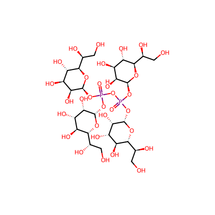 O=P(O[C@@H]1O[C@H]([C@@H](O)CO)[C@@H](O)[C@H](O)[C@@H]1O)(O[C@@H]1O[C@H]([C@@H](O)CO)[C@@H](O)[C@H](O)[C@@H]1O)OP(=O)(O[C@@H]1O[C@H]([C@@H](O)CO)[C@@H](O)[C@H](O)[C@@H]1O)O[C@@H]1O[C@H]([C@@H](O)CO)[C@@H](O)[C@H](O)[C@@H]1O